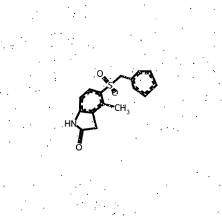 Cc1c(S(=O)(=O)Cc2ccccc2)ccc2c1CC(=O)N2